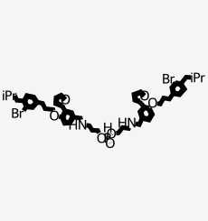 CC(C)Cc1ccc(CCCOc2ccc(CNCCCO[PH](=O)OCCCNCc3ccc(OCCCc4ccc(CC(C)C)c(Br)c4)c(-c4ccco4)c3)cc2-c2ccco2)cc1Br